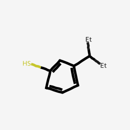 CCC(CC)c1cccc(S)c1